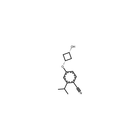 CC(C)c1cc(O[C@H]2C[C@@H](O)C2)ccc1C#N